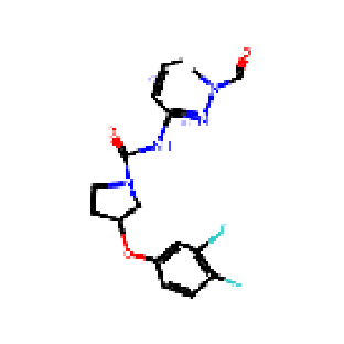 C/C=C\C(=N/N(C)C=O)NC(=O)N1CCC(Oc2ccc(F)c(F)c2)C1